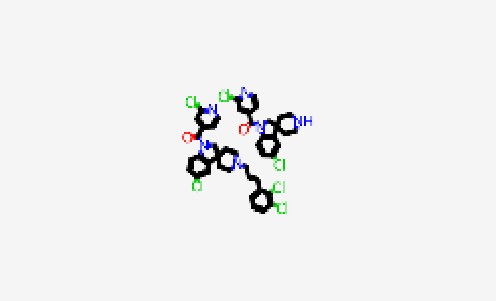 O=C(c1ccnc(Cl)c1)N1CC2(CCN(CC=Cc3cccc(Cl)c3Cl)CC2)c2cc(Cl)ccc21.O=C(c1ccnc(Cl)c1)N1CC2(CCNCC2)c2cc(Cl)ccc21